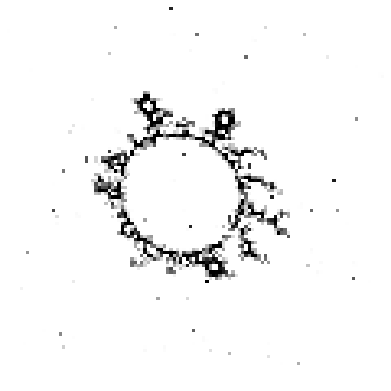 CCCC[C@H]1C(=O)N(C)[C@@H](CCCC)C(=O)N[C@@H](CCCNC(=N)N)C(=O)N[C@H](C(=O)NCC(N)=O)CSCC(=O)N[C@@H](Cc2ccc(O)cc2)c2nnnn2[C@@H](C)C(=O)N[C@@H](CC(N)=O)C(=O)N2CCC[C@H]2C(=O)N[C@@H](Cc2cnc[nH]2)C(=O)N[C@@H](CC(C)C)C(=O)N(C)CC(=O)N[C@@H](Cc2c[nH]c3ccccc23)C(=O)N[C@@H](CO)C(=O)N[C@@H](Cc2csc3ccccc23)C(=O)N1C